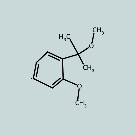 COc1c[c]ccc1C(C)(C)OC